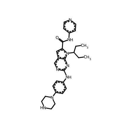 CCC(CC)n1c(C(=O)Nc2ccncc2)cc2cnc(Nc3ccc(N4CCNCC4)cc3)nc21